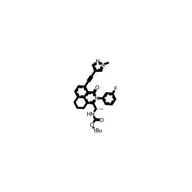 C[C@H](NC(=O)OC(C)(C)C)c1c2c3c(ccc(C#Cc4cnn(C)c4)c3c(=O)n1-c1cccc(F)c1)CCC2